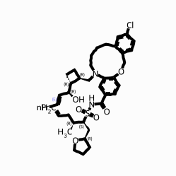 C=CC[C@@H](C)[C@H](C[C@H]1CCCO1)S(=O)(=O)NC(=O)c1ccc2c(c1)N(C[C@@H]1CC[C@H]1[C@@H](O)/C=C/CCC)CCCCc1cc(Cl)ccc1CO2